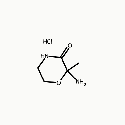 CC1(N)OCCNC1=O.Cl